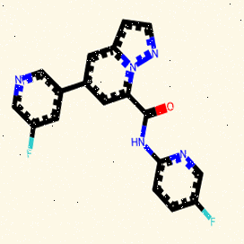 O=C(Nc1ccc(F)cn1)c1cc(-c2cncc(F)c2)cc2ccnn12